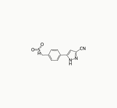 N#Cc1cc(-c2ccc(C[SH](=O)=O)cc2)[nH]n1